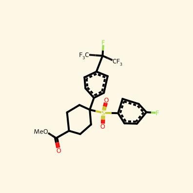 COC(=O)C1CCC(c2ccc(C(F)(C(F)(F)F)C(F)(F)F)cc2)(S(=O)(=O)c2ccc(F)cc2)CC1